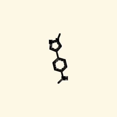 CNc1ccc(-c2cnn(C)c2)cc1